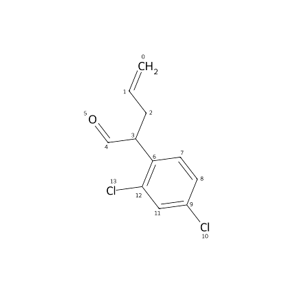 C=CCC(C=O)c1ccc(Cl)cc1Cl